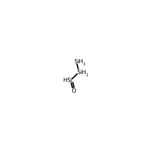 O=[SiH][SiH2][SiH3]